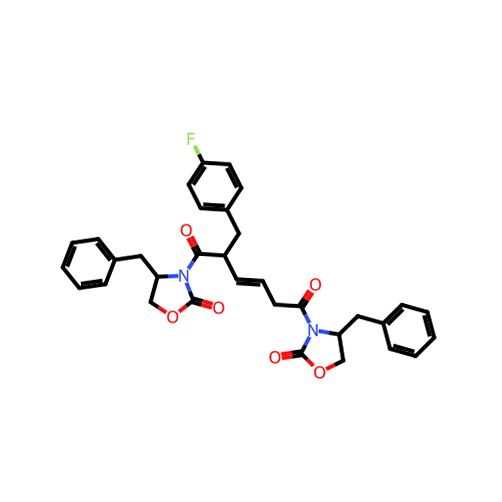 O=C(CC=CC(Cc1ccc(F)cc1)C(=O)N1C(=O)OCC1Cc1ccccc1)N1C(=O)OCC1Cc1ccccc1